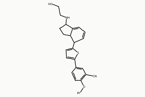 CC(C)Oc1ccc(-c2ccc(C3C=CC=C4C(NCCO)CCC43)s2)cc1C#N